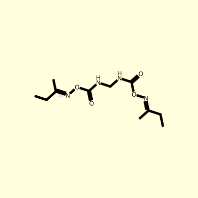 CC/C(C)=N/OC(=O)NCNC(=O)O/N=C(\C)CC